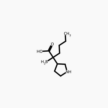 BC(CCCC)(C(=O)O)C1CCNC1